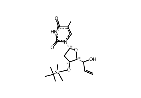 C=CC(O)[C@H]1O[C@@H](n2cc(C)c(=O)[nH]c2=O)C[C@@H]1O[Si](C)(C)C(C)(C)C